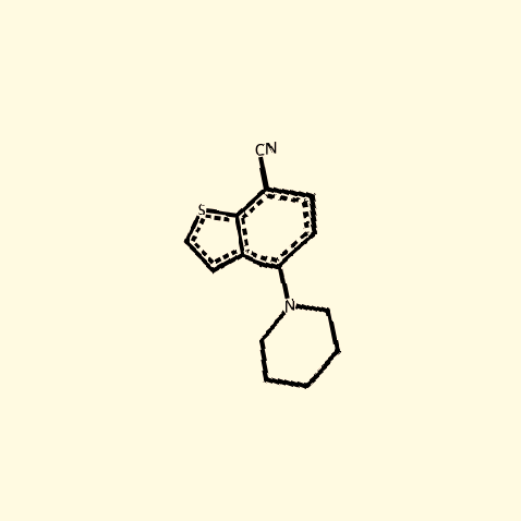 N#Cc1ccc(N2CCCCC2)c2ccsc12